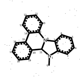 CN1c2ccccc2N2c3ccccc3-c3ccccc3C12